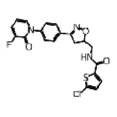 O=C(NCC1CC(c2ccc(-n3cccc(F)c3=O)cc2)=NO1)c1ccc(Cl)s1